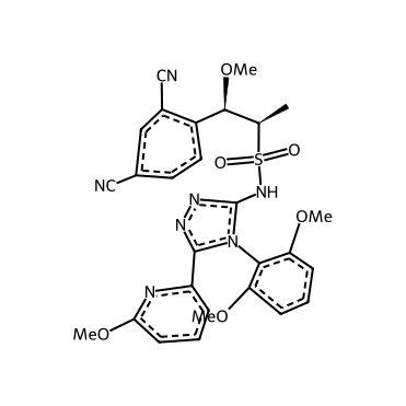 COc1cccc(-c2nnc(NS(=O)(=O)[C@H](C)[C@H](OC)c3ccc(C#N)cc3C#N)n2-c2c(OC)cccc2OC)n1